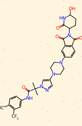 CC(C)(C(=O)Nc1ccc(C#N)c(C(F)(F)F)c1)n1cc(N2CCN(c3ccc4c(c3)C(=O)N(C3CCC(O)NC3=O)C4=O)CC2)cn1